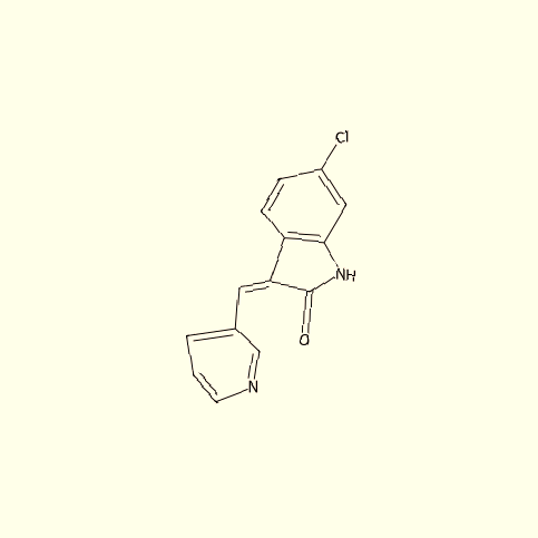 O=C1Nc2cc(Cl)ccc2C1=Cc1cccnc1